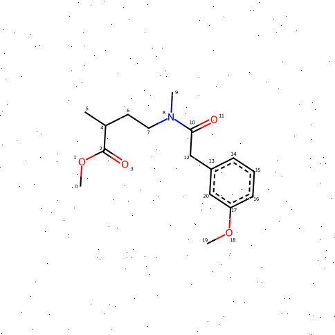 COC(=O)C(C)CCN(C)C(=O)Cc1cccc(OC)c1